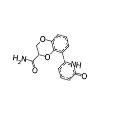 NC(=O)C1COc2cccc(-c3cccc(=O)[nH]3)c2O1